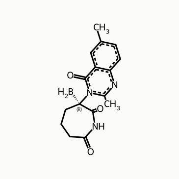 B[C@@]1(n2c(C)nc3ccc(C)cc3c2=O)CCCC(=O)NC1=O